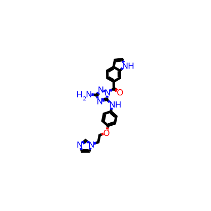 Nc1nc(Nc2ccc(OCCn3ccnc3)cc2)n(C(=O)c2ccc3cc[nH]c3c2)n1